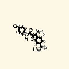 Nc1c(C(=O)Nc2ccc(Cl)cn2)oc2cc(C(=O)O)ccc12